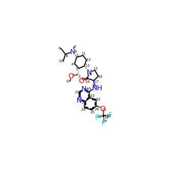 COC[C@@H]1C[C@H](N(C)C(C)C)CC[C@@H]1N1CCC(Nc2ncnc3ccc(OC(F)(F)F)cc23)C1=O